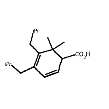 CC(C)CC1=C(CC(C)C)C(C)(C)C(C(=O)O)C=C1